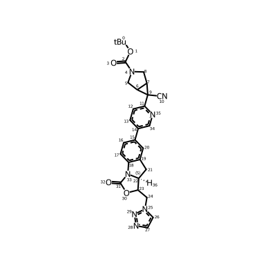 CC(C)(C)OC(=O)N1CC2C(C1)C2(C#N)c1ccc(-c2ccc3c(c2)C[C@H]2C(Cn4ccnn4)OC(=O)N32)cn1